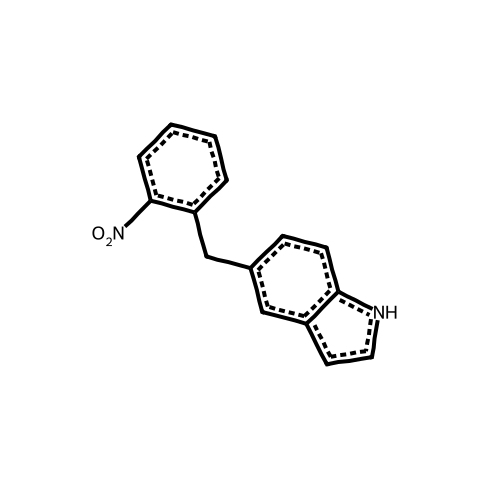 O=[N+]([O-])c1ccccc1Cc1ccc2[nH]ccc2c1